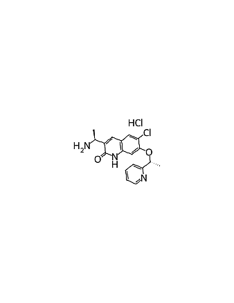 C[C@H](N)c1cc2cc(Cl)c(O[C@H](C)c3ccccn3)cc2[nH]c1=O.Cl